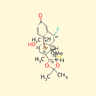 COC(=S)[C@@]12OC(C)(C)O[C@@H]1C[C@H]1[C@@H]3C[C@H](F)C4=CC(=O)C=C[C@]4(C)[C@@]3(Br)[C@@H](O)C[C@@]12C